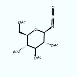 CC(=O)OC[C@H]1O[C@@H](N=C=O)[C@H](OC(C)=O)[C@@H](OC(C)=O)[C@@H]1OC(C)=O